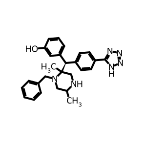 CC1CN(Cc2ccccc2)C(C)([C@H](c2ccc(-c3nnn[nH]3)cc2)c2cccc(O)c2)CN1